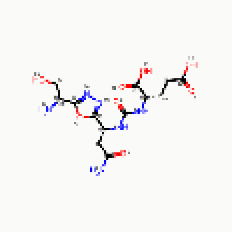 NC(=O)C[C@H](NC(=O)N[C@@H](CCC(=O)O)C(=O)O)c1nnc([C@@H](N)CO)o1